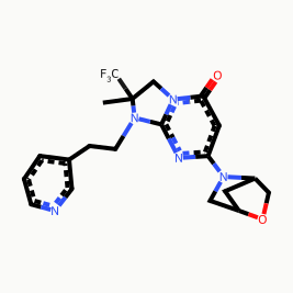 CC1(C(F)(F)F)Cn2c(nc(N3CC4CC3CO4)cc2=O)N1CCc1cccnc1